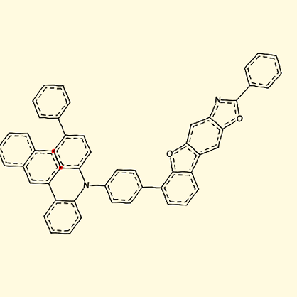 c1ccc(-c2ccc(N(c3ccc(-c4cccc5c4oc4cc6nc(-c7ccccc7)oc6cc45)cc3)c3ccccc3-c3ccc4ccccc4c3)cc2)cc1